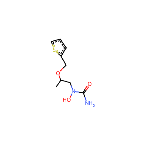 CC(CN(O)C(N)=O)OCc1cccs1